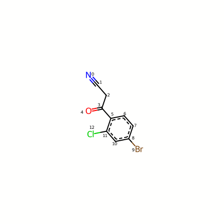 N#CCC(=O)c1ccc(Br)cc1Cl